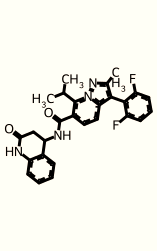 Cc1nn2c(C(C)C)c(C(=O)NC3CC(=O)Nc4ccccc43)ccc2c1-c1c(F)cccc1F